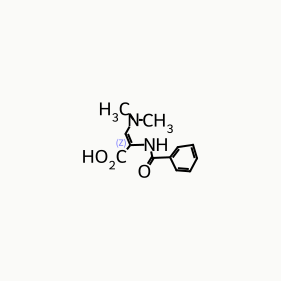 CN(C)/C=C(\NC(=O)c1ccccc1)C(=O)O